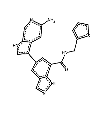 Nc1cc2c(-c3cc(C(=O)NCc4cccs4)c4[nH]ncc4c3)c[nH]c2cn1